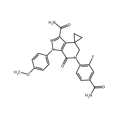 COc1ccc(-n2nc(C(N)=O)c3c2C(=O)N(c2ccc(C(N)=O)cc2F)CC32CC2)cc1